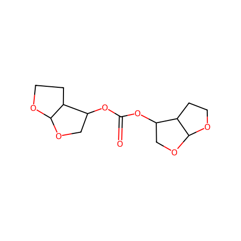 O=C(OC1COC2OCCC12)OC1COC2OCCC12